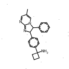 CC1=CN2C(=NC(c3ccc(C4(N)CCC4)cc3)C2c2ccccc2)N=C1